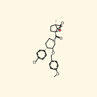 COc1ccc(CO[C@@H]2CN(C(=O)[C@]34CC[C@@](C)(C(=O)O3)C4(C)C)CC[C@H]2c2ccc(Cl)cc2)cc1